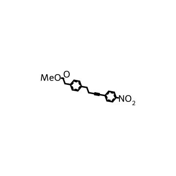 COC(=O)Cc1ccc(CCC#Cc2ccc([N+](=O)[O-])cc2)cc1